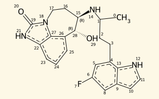 CC(CCc1cc(F)cc2cc[nH]c12)N[C@@H]1CCn2c(=O)[nH]c3cccc(c32)[C@H]1O